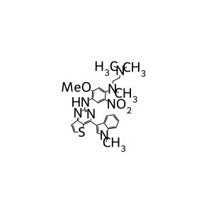 COc1cc(N(C)CCN(C)C)c([N+](=O)[O-])cc1Nc1nc(-c2cn(C)c3ccccc23)c2sccc2n1